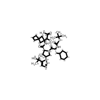 CC(C)(C)OC(=O)N[C@H](CC1CCCCC1)C(=O)N1C[C@@H](n2nncc2C(C)(C)O)C[C@H]1C(=O)NC1(C(O)C(N)=O)CC2(CCC2)C1